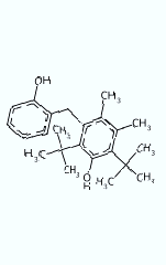 Cc1c(C)c(C(C)(C)C)c(O)c(C(C)(C)C)c1Cc1ccccc1O